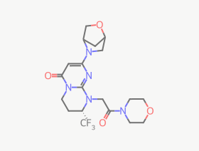 O=C(CN1c2nc(N3CC4CC3CO4)cc(=O)n2CC[C@H]1C(F)(F)F)N1CCOCC1